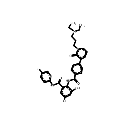 CCN(CC)CCCn1cccc(-c2ccc(C(=O)Nc3c(O)cc(Cl)cc3C(=O)Nc3ccc(Cl)cn3)cc2)c1=O